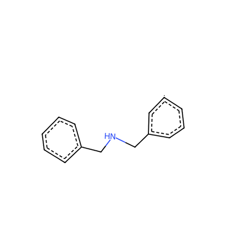 [c]1cccc(CNCc2ccccc2)c1